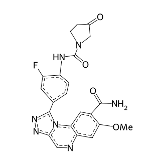 COc1cc2ncc3nnc(-c4ccc(NC(=O)N5CCC(=O)C5)c(F)c4)n3c2cc1C(N)=O